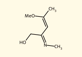 C/N=C(\C=C(\C)OC)CO